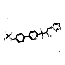 OC(Cn1cnnn1)C(F)(F)c1ccc(-c2ccc(SC(F)(F)F)cc2)cn1